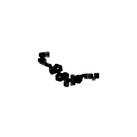 O=C(O)CN1CCc2nc(C(=O)N3CCc4c(-c5cccc6c5CCN6CCN5CCC(O)C5)cccc43)sc2C1